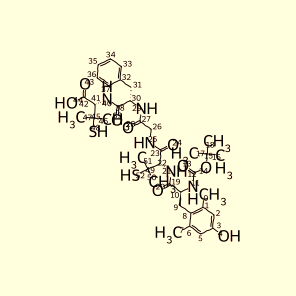 Cc1cc(O)cc(C)c1C[C@H](NC(=O)OC(C)(C)C)C(=O)N[C@@H](C(=O)NCC(=O)N[C@@H](Cc1ccccc1)C(=O)N[C@@H](C(=O)O)C(C)(C)S)C(C)(C)S